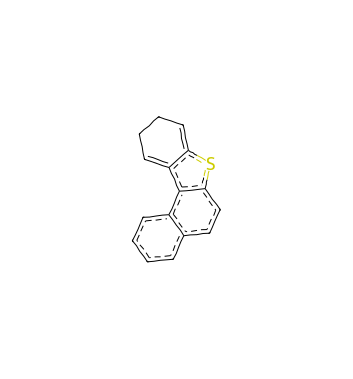 C1=c2sc3ccc4ccccc4c3c2=CCC1